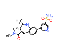 CCCN(CCC)C(=O)C1=Cc2ccc(-c3cncc(S(N)(=O)=O)c3)cc2N=C(C)C1